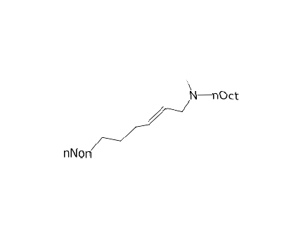 CCCCCCCCCCCCC=CCN(C)CCCCCCCC